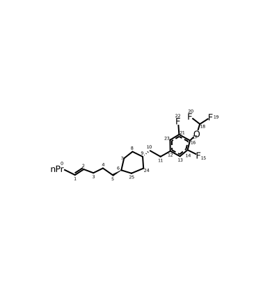 CCC/C=C/CCC[C@H]1CC[C@H](CCc2cc(F)c(OC(F)F)c(F)c2)CC1